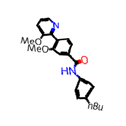 CCCCc1ccc(NC(=O)c2ccc(-c3ncccc3OC)c(OC)c2)cc1